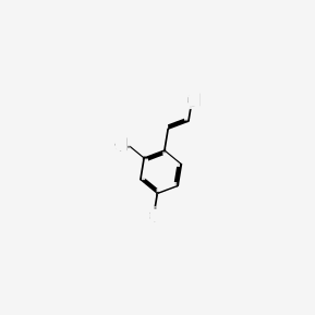 ClC=Cc1ccc(Cl)cc1Cl